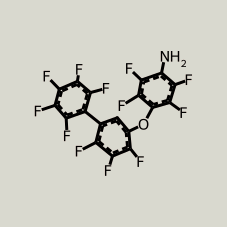 Nc1c(F)c(F)c(Oc2cc(-c3c(F)c(F)c(F)c(F)c3F)c(F)c(F)c2F)c(F)c1F